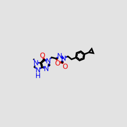 CN1CNc2ncn(Cc3nn(CCc4ccc(C5CC5)cc4)c(=O)o3)c(=O)c21